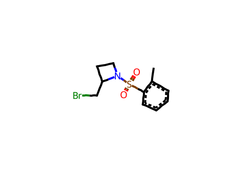 Cc1ccccc1S(=O)(=O)N1CCC1CBr